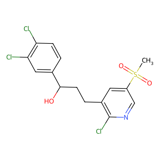 CS(=O)(=O)c1cnc(Cl)c(CCC(O)c2ccc(Cl)c(Cl)c2)c1